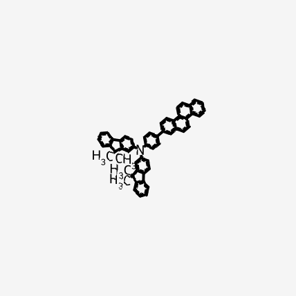 CC1(C)c2ccccc2-c2ccc(N(c3ccc(-c4ccc5c(ccc6c7ccccc7ccc56)c4)cc3)c3ccc4c(c3)C(C)(C)c3ccccc3-4)cc21